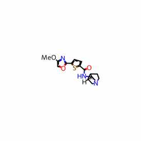 COc1coc(-c2ccc(C(=O)N[C@H]3CN4CCC3CC4)s2)n1